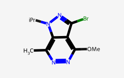 COc1nnc(C)c2c1c(Br)nn2C(C)C